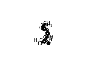 CNC(=O)c1cc(Oc2ccc(NC(=O)Nc3cc(C)c(Cl)cc3-n3cccc3)cc2)cc[n+]1[O-]